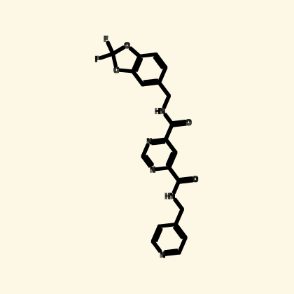 O=C(NCc1ccncc1)c1cc(C(=O)NCc2ccc3c(c2)OC(F)(F)O3)ncn1